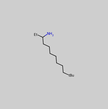 CCC(N)CCCCCCCC(C)(C)C